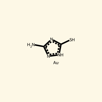 Nc1n[nH]c(S)n1.[Au]